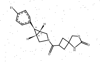 CCc1ccc([C@H]2[C@@H]3CN(C(=O)C4CC5(COC(=O)N5)C4)C[C@@H]32)cc1